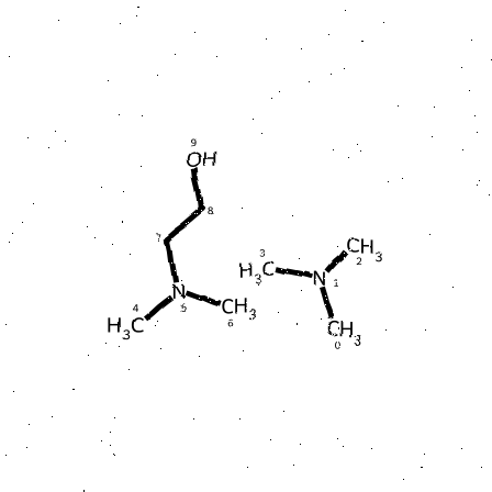 CN(C)C.CN(C)CCO